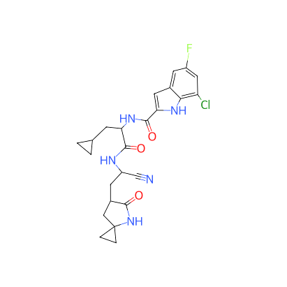 N#CC(CC1CC2(CC2)NC1=O)NC(=O)C(CC1CC1)NC(=O)c1cc2cc(F)cc(Cl)c2[nH]1